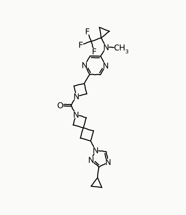 CN(c1cnc(C2CN(C(=O)N3CC4(CC(n5cnc(C6CC6)n5)C4)C3)C2)cn1)C1(C(F)(F)F)CC1